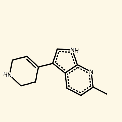 Cc1ccc2c(C3=CCNCC3)c[nH]c2n1